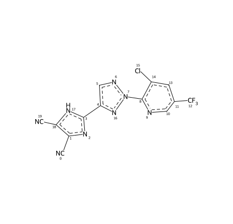 N#Cc1nc(-c2cnn(-c3ncc(C(F)(F)F)cc3Cl)n2)[nH]c1C#N